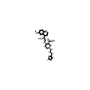 COc1ccc2nccc([C@@H](O)CC[C@@H]3CCN(CCCc4cccs4)C[C@@H]3C(=O)O)c2c1